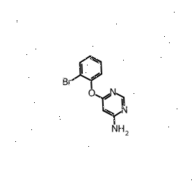 Nc1cc(Oc2ccccc2Br)ncn1